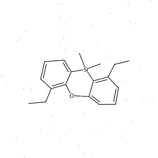 CCc1cccc2c1Oc1cccc(CC)c1[Si]2(C)C